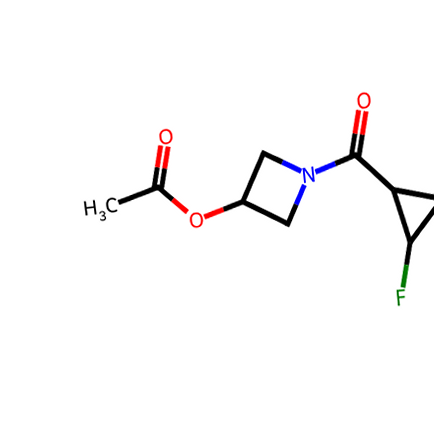 CC(=O)OC1CN(C(=O)C2CC2F)C1